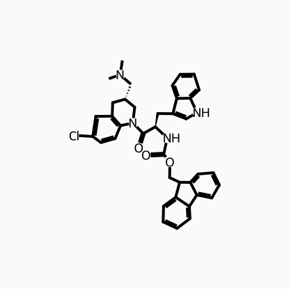 CN(C)C[C@H]1Cc2cc(Cl)ccc2N(C(=O)[C@@H](Cc2c[nH]c3ccccc23)NC(=O)OCC2c3ccccc3-c3ccccc32)C1